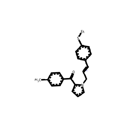 CCSc1ccc(/C=C/Cn2cccc2C(=O)c2ccc(C)cc2)cc1